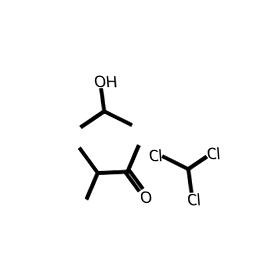 CC(=O)C(C)C.CC(C)O.ClC(Cl)Cl